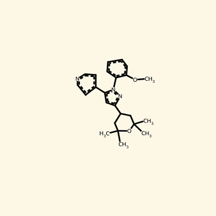 COc1ccccc1-n1nc(C2CC(C)(C)OC(C)(C)C2)cc1-c1ccncc1